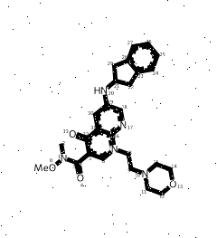 CON(C)C(=O)c1cn(CCN2CCOCC2)c2ncc(NC3Cc4ccccc4C3)cc2c1=O